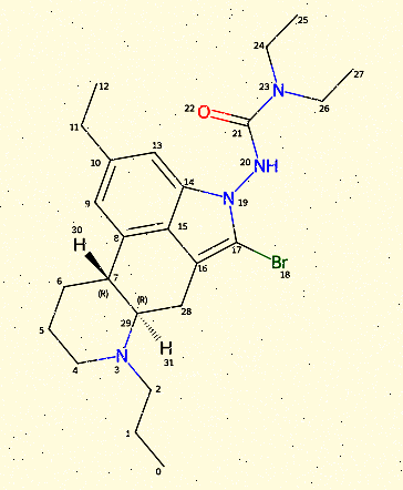 CCCN1CCC[C@@H]2c3cc(CC)cc4c3c(c(Br)n4NC(=O)N(CC)CC)C[C@H]21